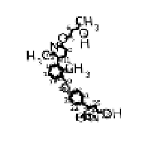 Cc1nc(OCC[C@@H](C)O)ccc1-c1cccc(COc2ccc(-c3cc(O)n[s+]3[O-])cc2)c1C